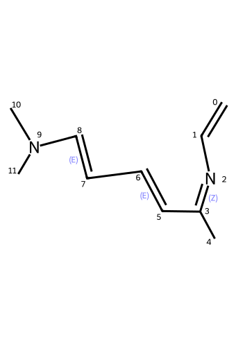 C=C\N=C(C)/C=C/C=C/N(C)C